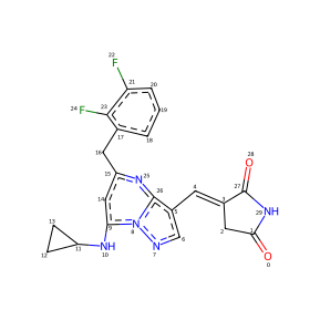 O=C1C/C(=C\c2cnn3c(NC4CC4)cc(Cc4cccc(F)c4F)nc23)C(=O)N1